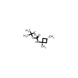 CC(C)(C)OC(=O)N[C@]1(C)C[C@H](C)C1